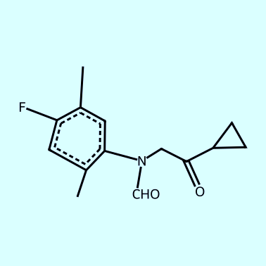 Cc1cc(N(C=O)CC(=O)C2CC2)c(C)cc1F